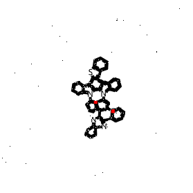 Cc1cc(-n2c3ccccc3c3c4c5ccccc5sc4c4c5ccccc5n(-c5ccccc5)c4c32)ccc1-c1nc2ccccc2nc1-c1ccccc1